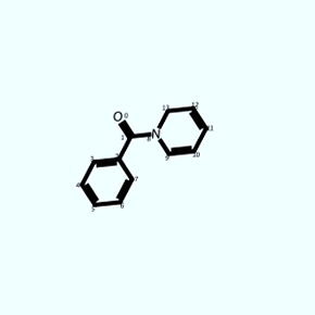 O=C(c1ccccc1)N1C=CC=[C]C1